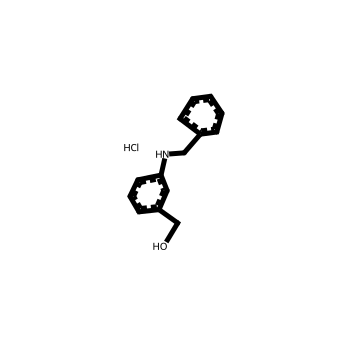 Cl.OCc1cccc(NCc2ccccc2)c1